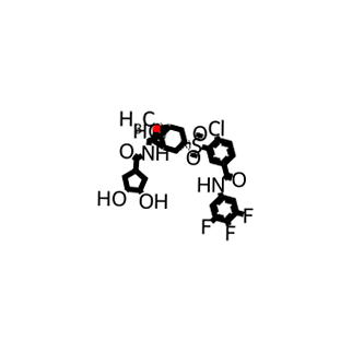 C[C@H]1CC2C[C@@H](S(=O)(=O)c3cc(C(=O)Nc4cc(F)c(F)c(F)c4)ccc3Cl)CC1[C@@]2(O)CNC(=O)C1CC(O)C(O)C1